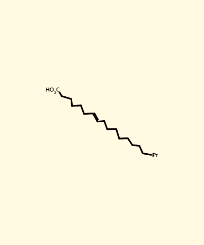 CC(C)CCCCCCCC/C=C/CCCCCC(=O)O